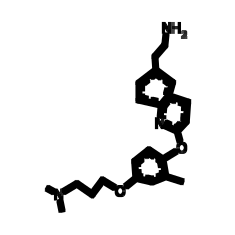 Cc1cc(OCCCN(C)C)ccc1Oc1ccc2cc(CCN)ccc2n1